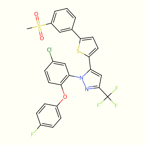 CS(=O)(=O)c1cccc(-c2ccc(-c3cc(C(F)(F)F)nn3-c3cc(Cl)ccc3Oc3ccc(F)cc3)s2)c1